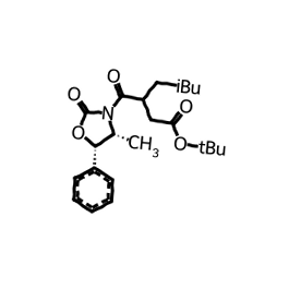 CCC(C)CC(CC(=O)OC(C)(C)C)C(=O)N1C(=O)O[C@@H](c2ccccc2)[C@H]1C